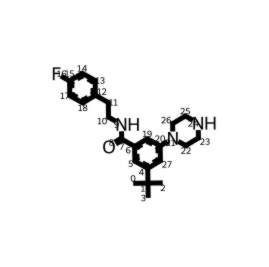 CC(C)(C)c1cc(C(=O)NCCc2ccc(F)cc2)cc(N2CCNCC2)c1